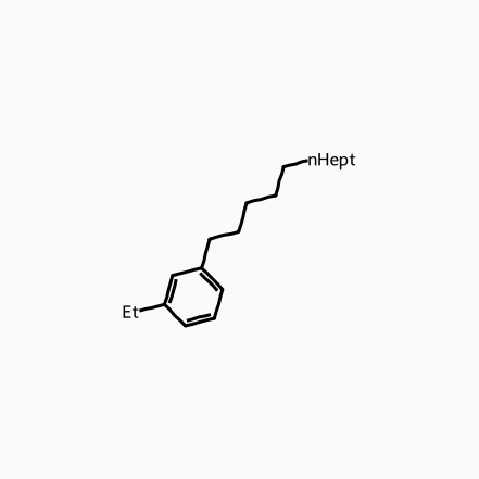 CCCCCCCCCCCCc1cccc(CC)c1